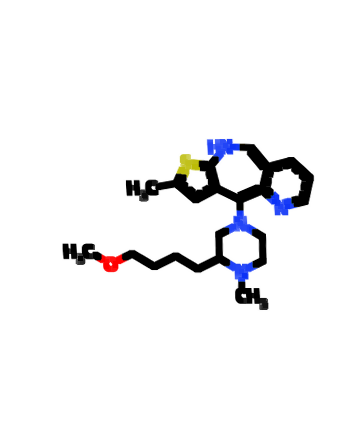 COCCCCC1CN(C2=c3ncccc3=CNc3sc(C)cc32)CCN1C